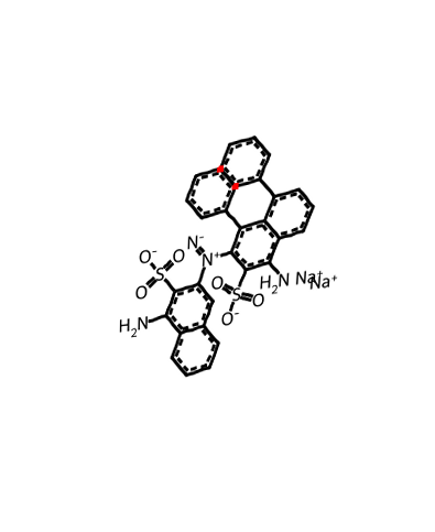 [N-]=[N+](c1cc2ccccc2c(N)c1S(=O)(=O)[O-])c1c(S(=O)(=O)[O-])c(N)c2cccc(-c3ccccc3)c2c1-c1ccccc1.[Na+].[Na+]